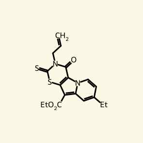 C=CCn1c(=S)sc2c(C(=O)OCC)c3cc(CC)ccn3c2c1=O